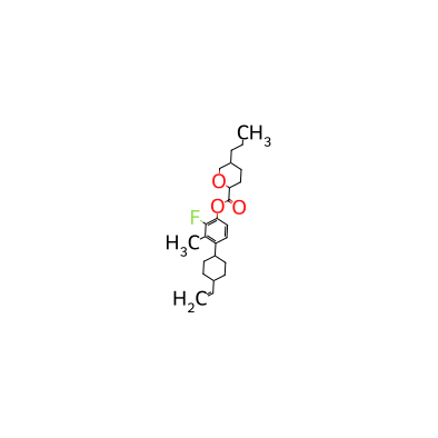 C=CC1CCC(c2ccc(OC(=O)C3CCC(CCC)CO3)c(F)c2C)CC1